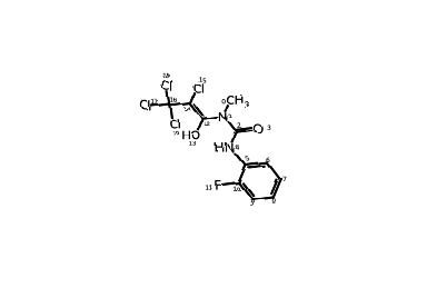 CN(C(=O)Nc1ccccc1F)C(O)=C(Cl)C(Cl)(Cl)Cl